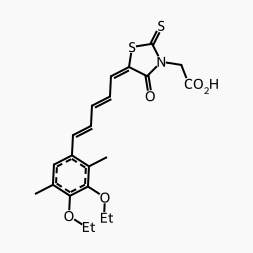 CCOc1c(C)cc(/C=C/C=C/C=C2/SC(=S)N(CC(=O)O)C2=O)c(C)c1OCC